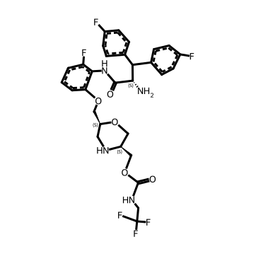 N[C@H](C(=O)Nc1c(F)cccc1OC[C@@H]1CN[C@H](COC(=O)NCC(F)(F)F)CO1)C(c1ccc(F)cc1)c1ccc(F)cc1